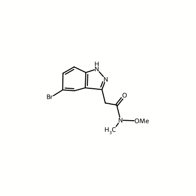 CON(C)C(=O)Cc1n[nH]c2ccc(Br)cc12